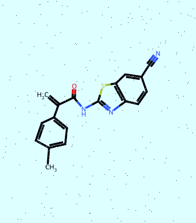 C=C(C(=O)Nc1nc2ccc(C#N)cc2s1)c1ccc(C)cc1